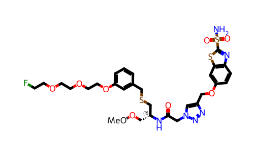 COOC[C@H](CSCc1cccc(OCCOCCOCCF)c1)NC(=O)Cn1cc(COc2ccc3nc(S(N)(=O)=O)sc3c2)nn1